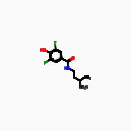 C[C@H](CCNC(=O)c1cc(F)c(O)c(F)c1)C(=O)O